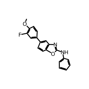 COc1ccc(-c2ccc3oc(Nc4ccccc4)nc3c2)cc1F